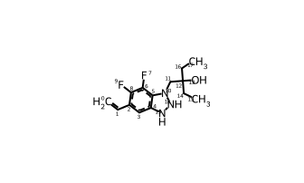 C=Cc1cc2c(c(F)c1F)N(CC(O)(CC)CC)NN2